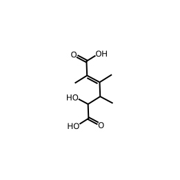 CC(C(=O)O)=C(C)C(C)C(O)C(=O)O